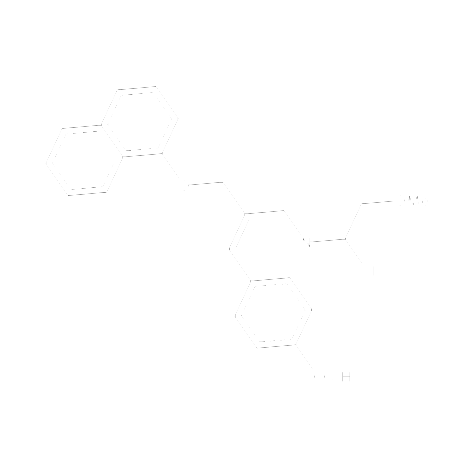 COCC(C)NCC(=Cc1ccc(C(=O)O)cc1)COc1cccc2ccccc12